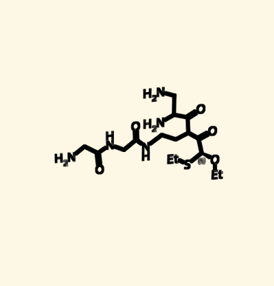 CCO[C@@H](SCC)C(=O)C(CCNC(=O)CNC(=O)CN)C(=O)C(N)CN